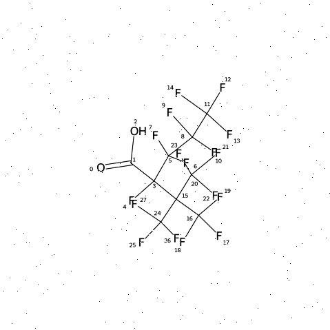 O=C(O)C(F)(C(F)(F)C(F)(F)C(F)(F)F)C(C(F)(F)F)(C(F)(F)F)C(F)(F)F